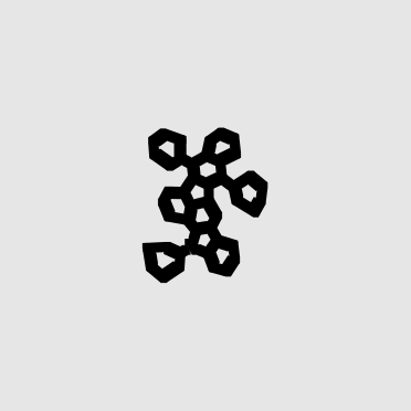 c1ccc(-c2c3c(c(-c4ccccc4)c4ccccc24)-c2cc4c5ccccc5n(-c5ccccc5)c4c4cccc-3c24)cc1